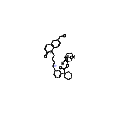 O=Cc1ccc2c(ccc(=O)n2CC/C=C/c2cccc(C3(C(=O)O[C@H]4CN5CCC4CC5)CCCCC3)c2)c1